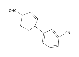 N#Cc1cccc(C2C=CC(C=O)CC2)c1